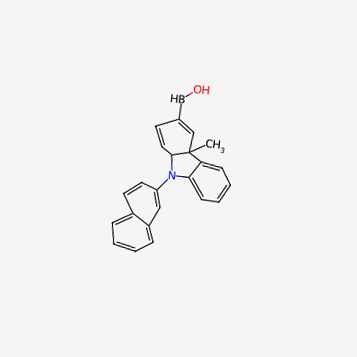 CC12C=C(BO)C=CC1N(c1ccc3ccccc3c1)c1ccccc12